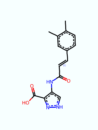 Cc1ccc(/C=C/C(=O)Nc2c[nH]nc2C(=O)O)cc1C